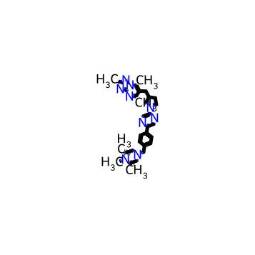 Cc1nc2nc(C)c(CC3CCN(c4cnc(-c5ccc(CN6C[C@@H](C)N(C)[C@@H](C)C6)cc5)cn4)C3)c(C)n2n1